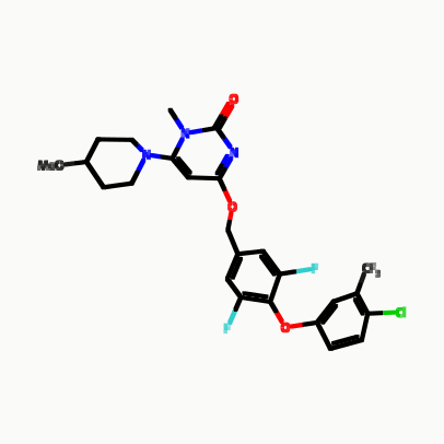 COC1CCN(c2cc(OCc3cc(F)c(Oc4ccc(Cl)c(C(F)(F)F)c4)c(F)c3)nc(=O)n2C)CC1